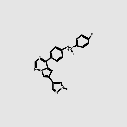 Cn1cc(-c2cc3c(-c4ccc(N[S+]([O-])c5ccc(F)cc5)cc4)ncnn3c2)cn1